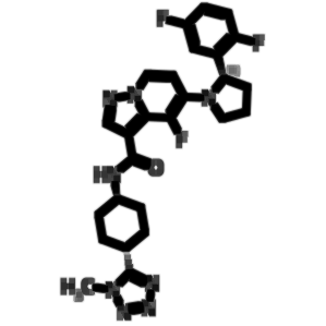 Cn1nnnc1[C@H]1CC[C@H](NC(=O)c2cnn3ccc(N4CCC[C@@H]4c4cc(F)ccc4F)c(F)c23)CC1